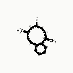 C=c1ccc2ccccc2c(=C)ccc(F)c1